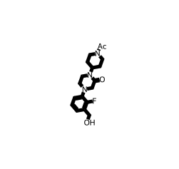 CC(=O)N1CCC(N2CCN(c3cccc(CO)c3F)CC2=O)CC1